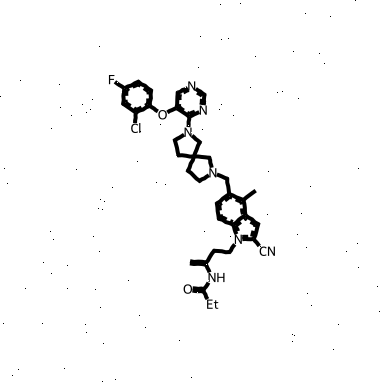 C=C(CCn1c(C#N)cc2c(C)c(CN3CCC4(CCN(c5ncncc5Oc5ccc(F)cc5Cl)C4)C3)ccc21)NC(=O)CC